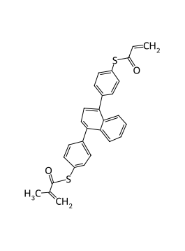 C=CC(=O)Sc1ccc(-c2ccc(-c3ccc(SC(=O)C(=C)C)cc3)c3ccccc23)cc1